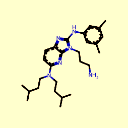 Cc1cc(C)cc(Nc2nc3ccc(N(CCC(C)C)CCC(C)C)nc3n2CCCN)c1